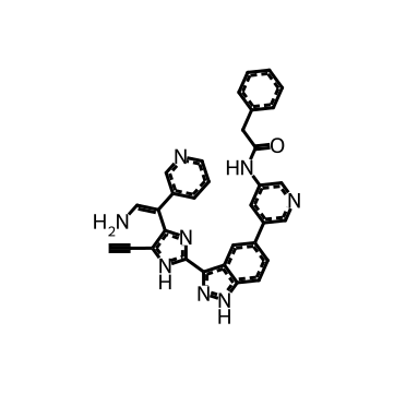 C#Cc1[nH]c(-c2n[nH]c3ccc(-c4cncc(NC(=O)Cc5ccccc5)c4)cc23)nc1/C(=C\N)c1cccnc1